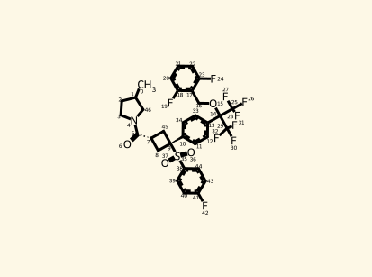 CC1CCN(C(=O)[C@H]2C[C@@](c3ccc(C(OCc4c(F)cccc4F)(C(F)(F)F)C(F)(F)F)cc3)(S(=O)(=O)c3ccc(F)cc3)C2)C1